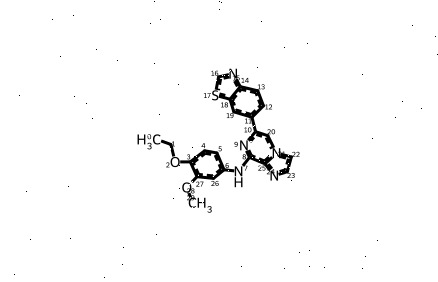 CCOc1ccc(Nc2nc(-c3ccc4ncsc4c3)cn3ccnc23)cc1OC